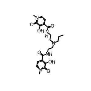 CCCN(CCNC(=O)c1ccn(C)c(=O)c1O)CCNC(=O)c1ccn(C)c(=O)c1O